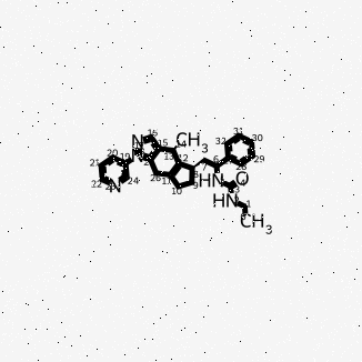 CCNC(=O)NC(C[C@H]1CCC2=C1[C@@H](C)c1cnn(-c3cccnc3)c1C2)c1ccccc1